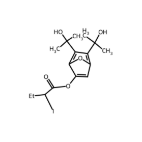 CCC(I)C(=O)Oc1cc2oc1c(C(C)(C)O)c2C(C)(C)O